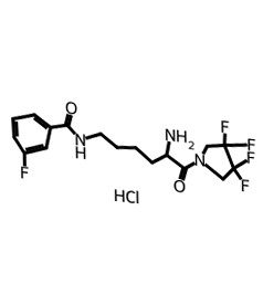 Cl.NC(CCCCNC(=O)c1cccc(F)c1)C(=O)N1CC(F)(F)C(F)(F)C1